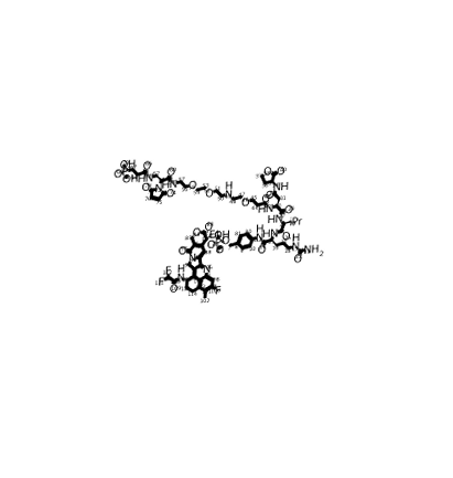 CC[C@@]1(OP(=O)(O)OCc2ccc(NC(=O)[C@H](CCCNC(N)=O)NC(=O)[C@@H](NC(=O)[C@H](CC(=O)N[C@H]3CCOC3=O)NC(=O)CCOCCNCCOCCOCCNC(=O)[C@H](CNC(=O)CCP(=O)(O)O)N3C(=O)C=CC3=O)C(C)C)cc2)C(=O)OCc2c1cc1n(c2=O)Cc2c-1nc1cc(F)c(C)c3c1c2[C@@H](NC(=O)C(F)F)CC3